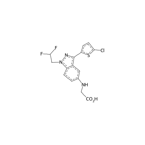 O=C(O)CNc1ccc2c(c1)c(-c1ccc(Cl)s1)nn2CC(F)F